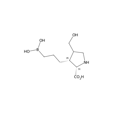 O=C(O)[C@H]1NCC(CO)[C@H]1CCCB(O)O